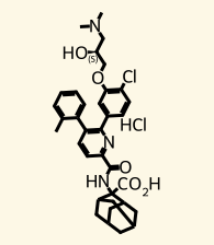 Cc1ccccc1-c1ccc(C(=O)NC2(C(=O)O)C3CC4CC(C3)CC2C4)nc1-c1ccc(Cl)c(OC[C@@H](O)CN(C)C)c1.Cl